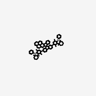 Cc1cc(-c2ccc3c(c2)C2(c4cc(-c5cc(C)c6c(c5C)C5(C)CCCCC5(C)N6c5ccccc5)ccc4-3)c3ccccc3-c3c2cc2ccc4cccc5ccc3c2c45)c(C)c2c1N(c1ccccc1)C1(C)CCCCC21C